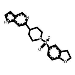 O=S(=O)(c1ccc2c(c1)CCO2)N1CCC(c2cc3[nH]ccc3cn2)CC1